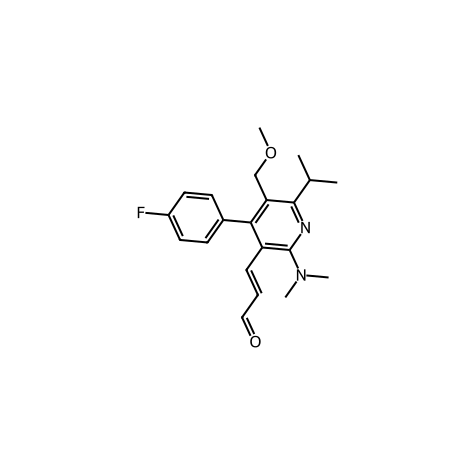 COCc1c(C(C)C)nc(N(C)C)c(/C=C/C=O)c1-c1ccc(F)cc1